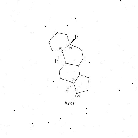 CC(=O)O[C@H]1CCC2C3CC[C@H]4CCCC[C@@H]4C3CC[C@@]21C